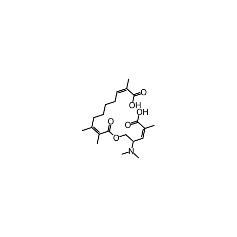 CC(=CCCCCC(C)=C(C)C(=O)OCC(C=C(C)C(=O)O)N(C)C)C(=O)O